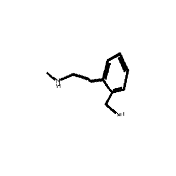 CNCCc1ccccc1C[NH]